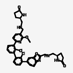 COc1nc(-c2cccc(-c3cccc(-c4ccc5nc(CNC[C@H]6CCC(=O)N6)oc5c4)c3Cl)c2Cl)ccc1CNC[C@H]1CCC(=O)N1